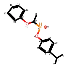 CC(C)c1ccc(O[PH](=O)C(C)Oc2ccccc2)cc1